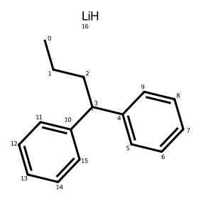 CCC[C](c1ccccc1)c1ccccc1.[LiH]